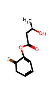 C[C@@H](O)CC(=O)OC1=CC=CCC1=S